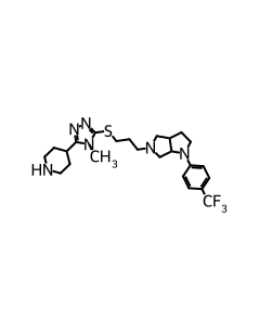 Cn1c(SCCCN2CC3CCN(c4ccc(C(F)(F)F)cc4)C3C2)nnc1C1CCNCC1